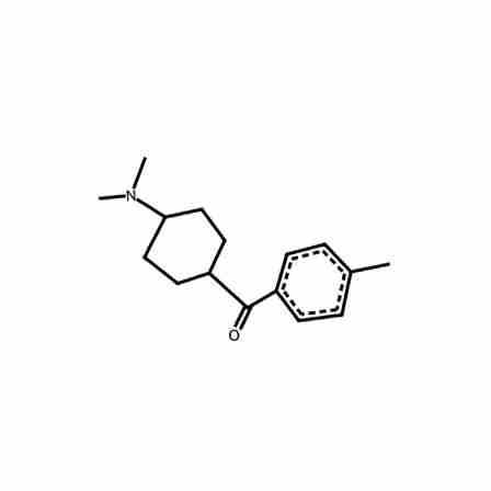 Cc1ccc(C(=O)C2CCC(N(C)C)CC2)cc1